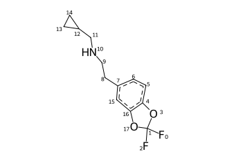 FC1(F)Oc2ccc(CCNCC3CC3)cc2O1